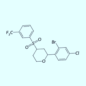 O=S(=O)(c1cccc(C(F)(F)F)c1)C1CCOC(c2ccc(Cl)cc2Br)C1